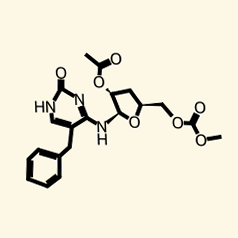 COC(=O)OC[C@@H]1C[C@@H](OC(C)=O)[C@H](Nc2nc(=O)[nH]cc2Cc2ccccc2)O1